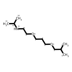 CC(C)COCCCOCCNC(C)C